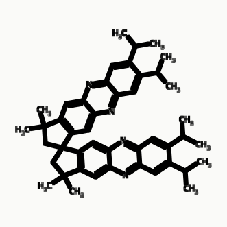 CC(C)c1cc2nc3cc4c(cc3nc2cc1C(C)C)C1(CC4(C)C)CC(C)(C)c2cc3nc4cc(C(C)C)c(C(C)C)cc4nc3cc21